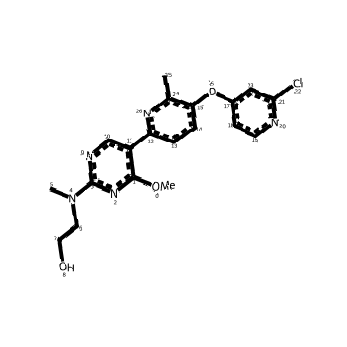 COc1nc(N(C)CCO)ncc1-c1ccc(Oc2ccnc(Cl)c2)c(C)n1